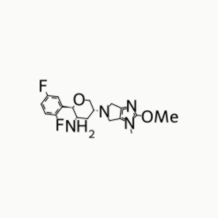 COc1nc2c(n1C)CN([C@H]1CO[C@H](c3cc(F)ccc3F)[C@@H](N)C1)C2